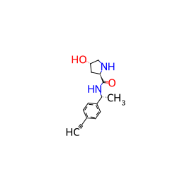 C#Cc1ccc([C@@H](C)NC(=O)[C@H]2C[C@H](O)CN2)cc1